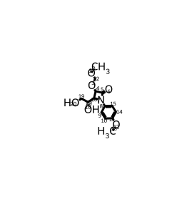 COCOC1C(=O)N(c2ccc(OC)cc2)C1[C@H](O)CO